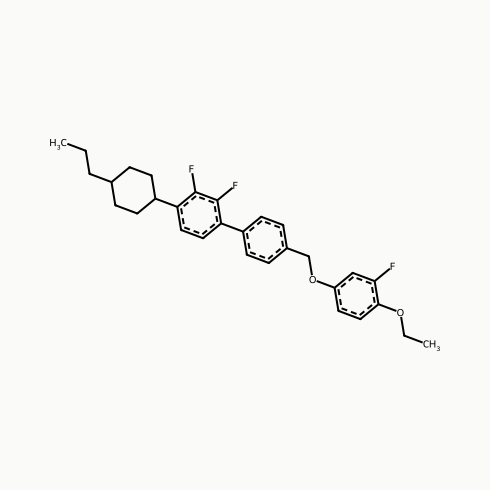 CCCC1CCC(c2ccc(-c3ccc(COc4ccc(OCC)c(F)c4)cc3)c(F)c2F)CC1